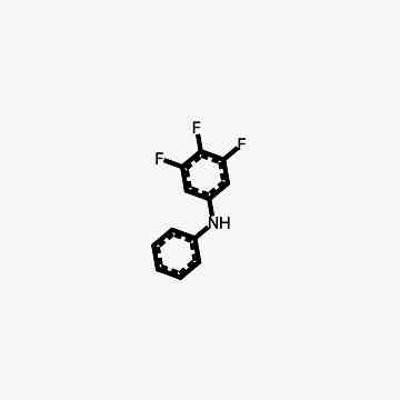 Fc1cc(Nc2ccccc2)cc(F)c1F